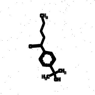 CCCCC(=O)c1ccc(C(C)(C)O)cc1